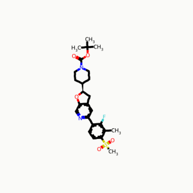 Cc1c(S(C)(=O)=O)ccc(-c2cc3c(cn2)O[C@@H](C2CCN(C(=O)OC(C)(C)C)CC2)C3)c1F